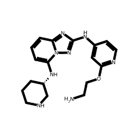 NCCOc1cc(Nc2nc3cccc(N[C@H]4CCCNC4)n3n2)ccn1